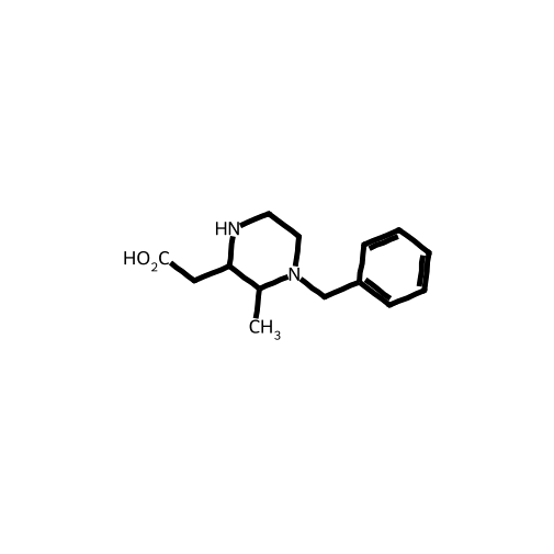 CC1C(CC(=O)O)NCCN1Cc1ccccc1